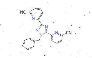 N#Cc1cccc(-c2nc(-c3cccc(C#N)n3)n(Cc3ccccc3)n2)n1